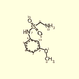 COc1cccc(NS(=O)(=O)CN)c1